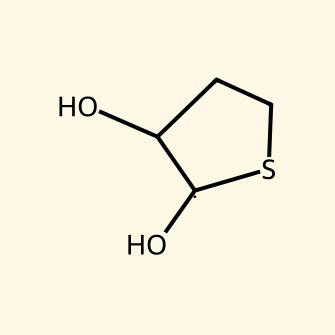 O[C]1SCCC1O